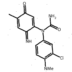 CNc1ccc(N(C(N)=O)C2=CC(=O)C(C)=CC2=N)cc1Cl